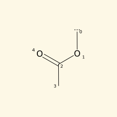 [C]OC(C)=O